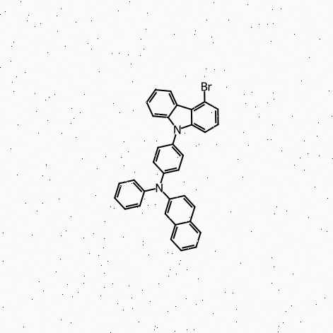 Brc1cccc2c1c1ccccc1n2-c1ccc(N(c2ccccc2)c2ccc3ccccc3c2)cc1